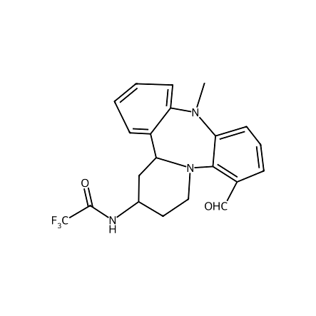 CN1c2ccccc2C2CC(NC(=O)C(F)(F)F)CCN2c2c(C=O)cccc21